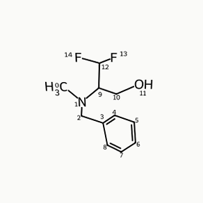 CN(Cc1ccccc1)C(CO)C(F)F